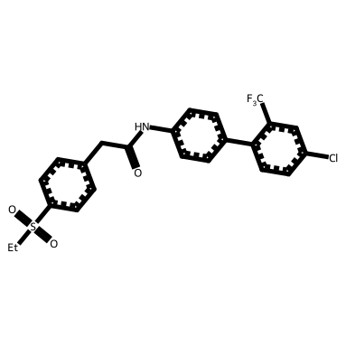 CCS(=O)(=O)c1ccc(CC(=O)Nc2ccc(-c3ccc(Cl)cc3C(F)(F)F)cc2)cc1